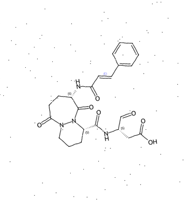 O=C[C@H](CC(=O)O)NC(=O)[C@@H]1CCCN2C(=O)CC[C@H](NC(=O)/C=C/c3ccccc3)C(=O)N12